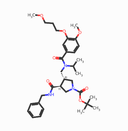 COCCCOc1cc(C(=O)N(C[C@@H]2CN(C(=O)OC(C)(C)C)C[C@H]2C(=O)NCc2ccccc2)C(C)C)ccc1OC